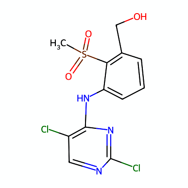 CS(=O)(=O)c1c(CO)cccc1Nc1nc(Cl)ncc1Cl